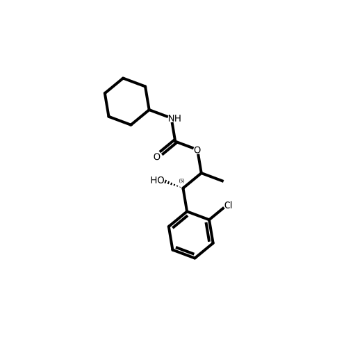 CC(OC(=O)NC1CCCCC1)[C@@H](O)c1ccccc1Cl